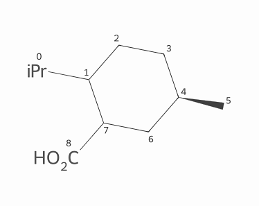 CC(C)C1CC[C@@H](C)CC1C(=O)O